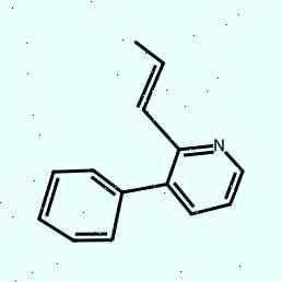 CC=Cc1ncccc1-c1ccccc1